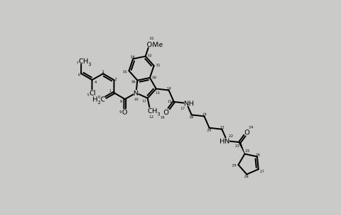 C=C(/C=C\C(Cl)=C/C)C(=O)n1c(C)c(CC(=O)NCCCCNC(=O)[C@H]2C=CCC2)c2cc(OC)ccc21